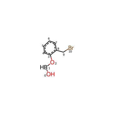 OBOc1ccccc1CBr